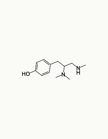 CNCC(Cc1ccc(O)cc1)N(C)C